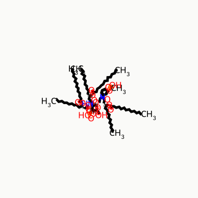 CCCCCCCCCCCCCC(=O)O[C@H](CCCCCCCCCCC)CC(=O)NC1[C@H](OCCN(C(=O)C[C@@H](CCCCCCCCCCC)OC(=O)CCCCCCCCCCCCC)c2cccc(OP(C)(=O)O)c2)OC(CO)[C@@H](OP(=O)(O)O)[C@@H]1OC(=O)C[C@@H](CCCCCCCCCCC)OC(=O)CCCCCCCCCCCCC